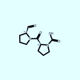 O=C[C@@H]1CCCN1C(=O)[C@@H]1CCCN1C(=O)O